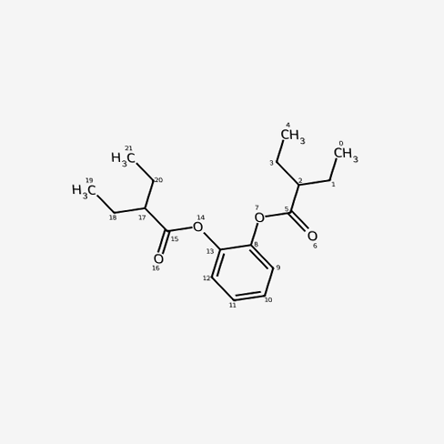 CCC(CC)C(=O)Oc1ccccc1OC(=O)C(CC)CC